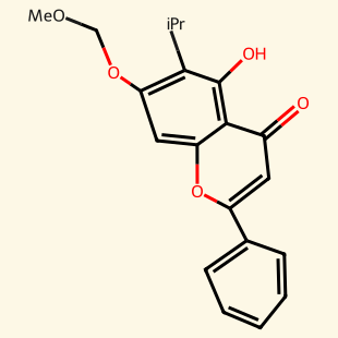 COCOc1cc2oc(-c3ccccc3)cc(=O)c2c(O)c1C(C)C